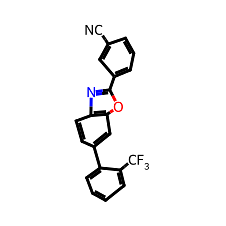 N#Cc1cccc(-c2nc3ccc(-c4ccccc4C(F)(F)F)cc3o2)c1